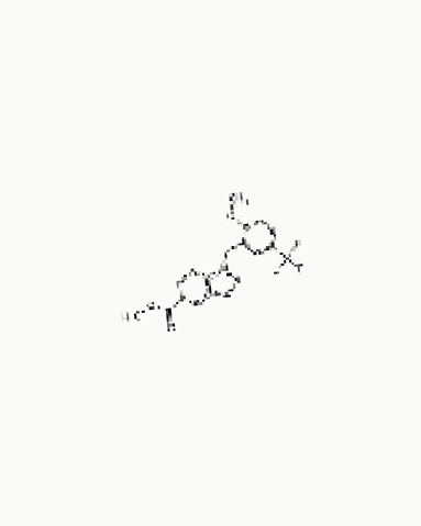 COC(=O)c1ccc2c(cnn2Cc2cc(C(F)(F)F)ccc2OC)c1